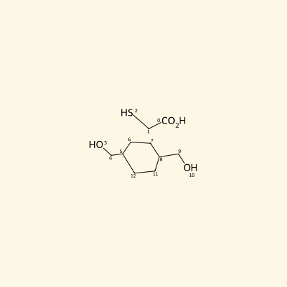 O=C(O)CS.OCC1CCC(CO)CC1